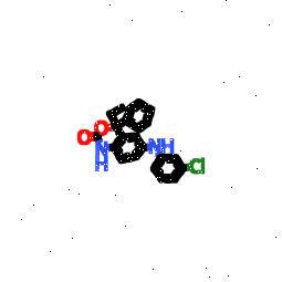 CCC1(c2ccccc2)OC(=O)Nc2ccc(Nc3cccc(Cl)c3)cc21